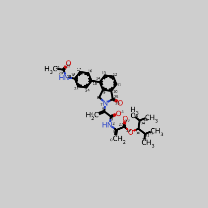 C=C(NC(=O)C(=C)N1Cc2c(cccc2-c2ccc(NC(C)=O)cc2)C1=O)C(=O)OC(C(C)C)C(C)C